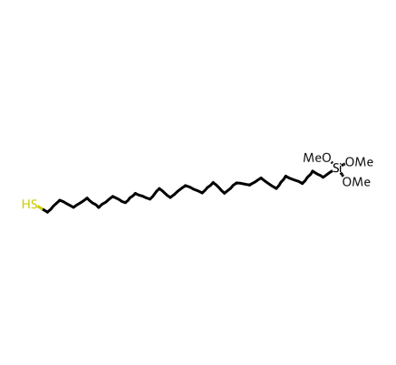 CO[Si](CCCCCCCCCCCCCCCCCCCCCCCS)(OC)OC